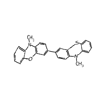 CN1c2ccccc2Oc2cc(-c3ccc4c(c3)Sc3ccccc3N4C)ccc21